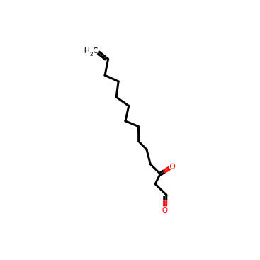 C=CCCCCCCCCCC(=O)C[C]=O